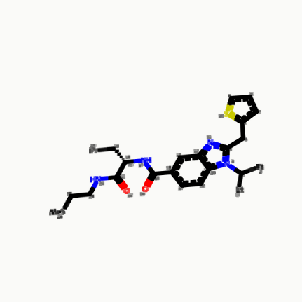 CCC(CC)n1c(Cc2cccs2)nc2cc(C(=O)N[C@@H](CC(C)C)C(=O)NCCSC)ccc21